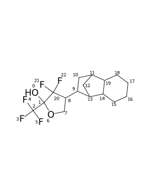 OC1(C(F)(F)F)OCC(C2CC3CC2C2CCCCC32)C1(F)F